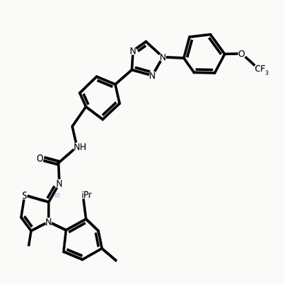 Cc1ccc(-n2c(C)cs/c2=N\C(=O)NCc2ccc(-c3ncn(-c4ccc(OC(F)(F)F)cc4)n3)cc2)c(C(C)C)c1